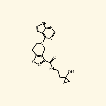 O=C(NCCC1(O)CC1)c1noc2c1CN(c1ncnc3[nH]ccc13)CC2